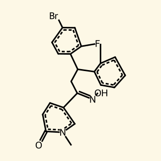 Cc1ccccc1C(C/C(=N\O)c1ccc(=O)n(C)c1)c1ccc(Br)cc1F